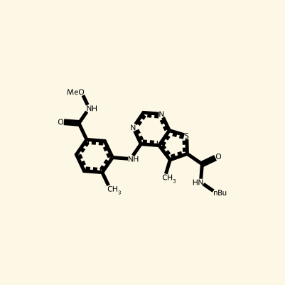 CCCCNC(=O)c1sc2ncnc(Nc3cc(C(=O)NOC)ccc3C)c2c1C